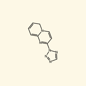 C1=CCN2C=CC(n3ncnn3)=NC2=C1